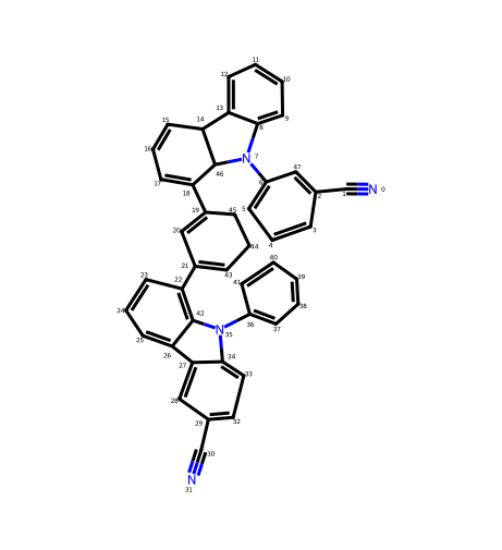 N#Cc1cccc(N2c3ccccc3C3C=CC=C(C4=CC(c5cccc6c7cc(C#N)ccc7n(-c7ccccc7)c56)=CCC4)C32)c1